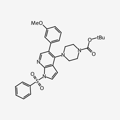 COc1cccc(-c2cnc3c(ccn3S(=O)(=O)c3ccccc3)c2N2CCN(C(=O)OC(C)(C)C)CC2)c1